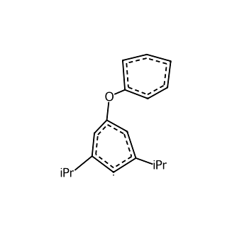 CC(C)c1[c]c(C(C)C)cc(Oc2ccccc2)c1